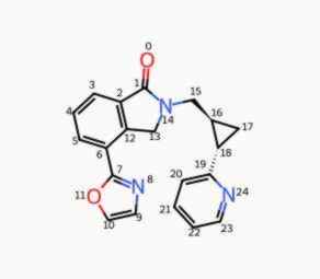 O=C1c2cccc(-c3ncco3)c2CN1C[C@H]1C[C@@H]1c1ccccn1